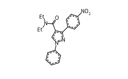 CCN(CC)C(=O)c1cn(-c2ccccc2)nc1-c1ccc([N+](=O)[O-])cc1